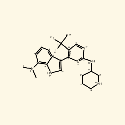 CN(C)c1cccc2c(-c3nc(NC4CCCNC4)ncc3C(F)(F)F)c[nH]c12